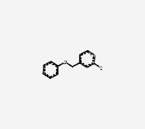 Clc1cc(COc2cc[c]cc2)ccn1